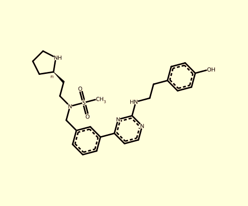 CS(=O)(=O)N(CC[C@H]1CCCN1)Cc1cccc(-c2ccnc(NCCc3ccc(O)cc3)n2)c1